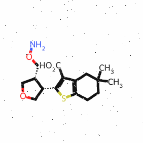 CC1(C)CCc2sc([C@@H]3COC[C@@H]3CON)c(C(=O)O)c2C1